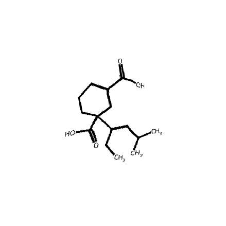 CCC(CC(C)C)C1(C(=O)O)CCCC(C(=O)O)C1